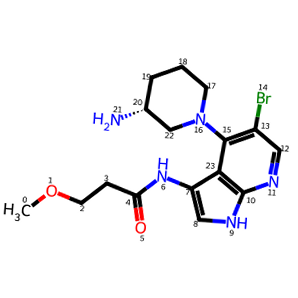 COCCC(=O)Nc1c[nH]c2ncc(Br)c(N3CCC[C@@H](N)C3)c12